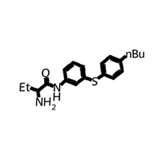 CCCCc1ccc(Sc2cccc(NC(=O)C(N)CC)c2)cc1